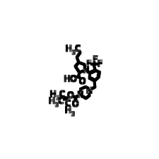 CCCC1CC(C(=O)O)N(c2cc(CN3CCN(C(=O)OC(C)(C)C)CC3)ccc2C(F)(F)F)C1